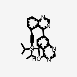 CC(C)[Si](C#Cc1cccc2ncnc(-c3ccc4c(O)ncnc4c3)c12)(C(C)C)C(C)C